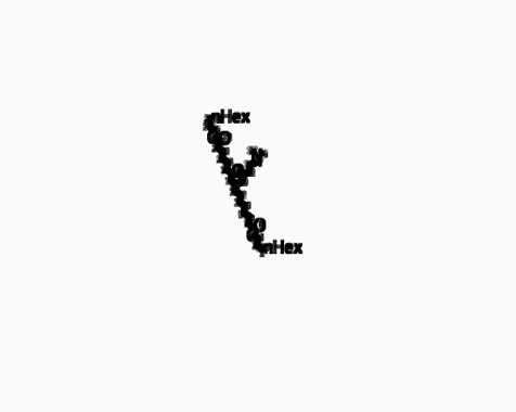 CCCCCC/C=C\COC(=O)CCCCCCCC(CCCCCCCC(=O)OC/C=C\CCCCCC)CC(=O)CCCN(C)C